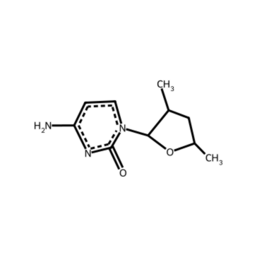 CC1CC(C)C(n2ccc(N)nc2=O)O1